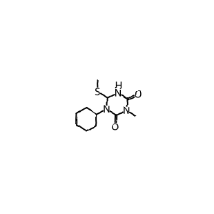 CSC1NC(=O)N(C)C(=O)N1C1CCCCC1